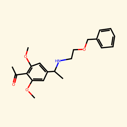 COc1cc(C(C)NCCOCc2ccccc2)cc(OC)c1C(C)=O